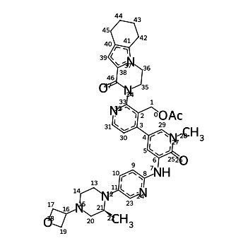 CC(=O)OCc1c(-c2cc(Nc3ccc(N4CCN(C5COC5)C[C@@H]4C)cn3)c(=O)n(C)c2)ccnc1N1CCn2c(cc3c2CCCC3)C1=O